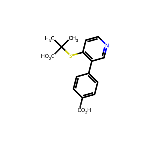 CC(C)(Sc1ccncc1-c1ccc(C(=O)O)cc1)C(=O)O